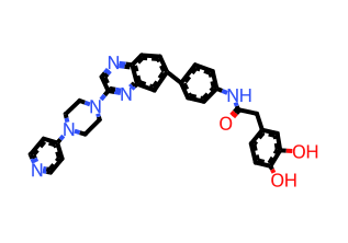 O=C(Cc1ccc(O)c(O)c1)Nc1ccc(-c2ccc3ncc(N4CCN(c5ccncc5)CC4)nc3c2)cc1